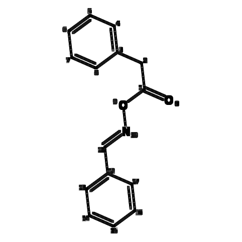 O=C(Cc1ccccc1)O/N=C/c1ccccc1